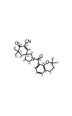 CC1(C)CCc2cccc(C(=O)N3CC[C@@]4(C=C(C#N)C(=O)C(C)(C)C4)C3)c2O1